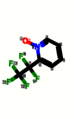 [O-][n+]1c[c]ccc1C(F)(F)C(F)(F)F